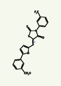 O=C(O)c1cccc(-c2ccc(/C=C3\SC(=S)N(c4cccc(C(F)(F)F)c4)C3=O)o2)c1